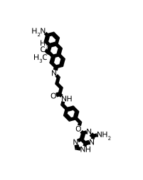 CC1(C)C2=C/C(=N/CCCC(=O)NCc3ccc(COc4nc(N)nc5[nH]cnc45)cc3)C=CC2=Cc2ccc(N)cc21